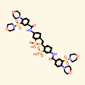 O=C(Nc1ccc(C=Cc2ccc(NC(=O)c3ccc(N4CCOCC4)c(S(=O)(=O)N4CCOCC4)c3)cc2S(=O)(=O)O)c(S(=O)(=O)O)c1)c1ccc(N2CCOCC2)c(S(=O)(=O)N2CCOCC2)c1